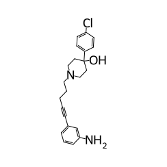 Nc1cccc(C#CCCCN2CCC(O)(c3ccc(Cl)cc3)CC2)c1